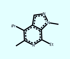 CCc1nc(C)c(C(C)C)c2cnn(C)c12